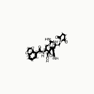 N=C1NC2[C@H](CN3C(=O)CCC3=O)NC(=N)N3CC(NC(=O)c4cccc5c4OCO5)C(O)C23N1CO